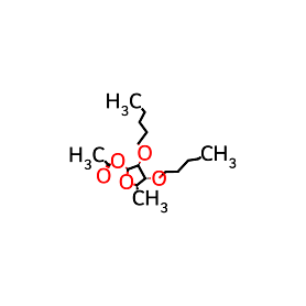 CCCCCO[C@H]1[C@@H](OC(C)=O)O[C@H](C)[C@H]1OCCCCC